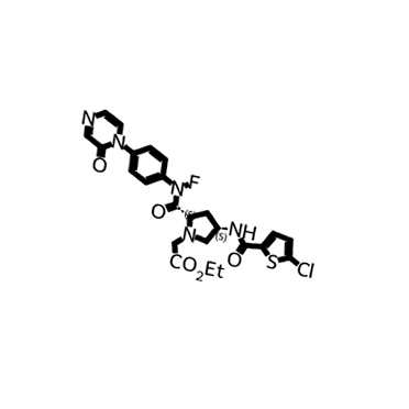 CCOC(=O)CN1C[C@@H](NC(=O)c2ccc(Cl)s2)C[C@H]1C(=O)N(F)c1ccc(-n2ccncc2=O)cc1